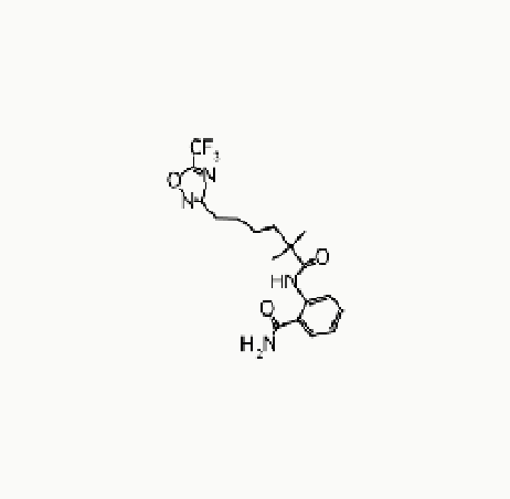 CC(C)(CCCCc1noc(C(F)(F)F)n1)C(=O)Nc1ccccc1C(N)=O